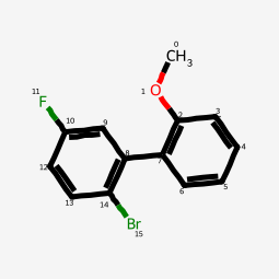 COc1[c]cccc1-c1cc(F)ccc1Br